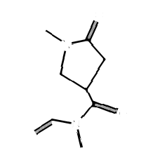 C=CN(C)C(=O)C1CC(=O)N(C)C1